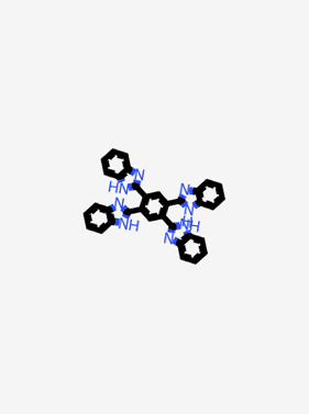 c1ccc2[nH]c(-c3cc(-c4nc5ccccc5[nH]4)c(-c4nc5ccccc5[nH]4)cc3-c3nc4ccccc4[nH]3)nc2c1